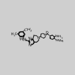 CNc1ccc(C(=O)N2CCC(N3CCc4cnc(Nc5cc(C)cc(C)c5)nc4CC3)CC2)cc1N